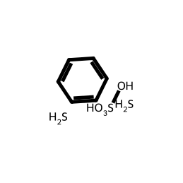 O=S(=O)(O)O.S.S.c1ccccc1